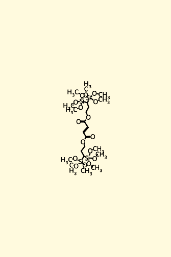 CO[Si](OC)(OC)C(CCOC(=O)/C=C/C(=O)OCCC([Si](OC)(OC)OC)[Si](OC)(OC)OC)[Si](OC)(OC)OC